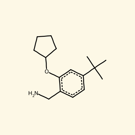 CC(C)(C)c1ccc(CN)c(OC2CCCC2)c1